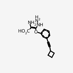 NN/C(Oc1cccc(C#CC2CCC2)c1)=C(\N)C(=O)O